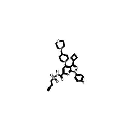 C#CCCS(=O)(=O)NC(=O)c1cc(N2CCC(N3CCOCC3)CC2)c2c(C3CCC3)nn(-c3ccc(F)cc3)c2n1